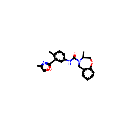 Cc1coc(-c2cc(NC(=O)N3Cc4ccccc4OCC3C)ccc2C)n1